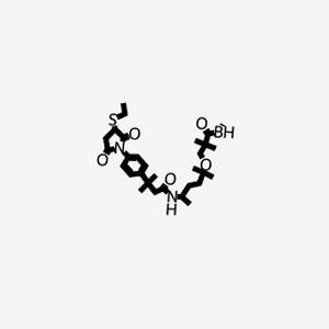 CBC(=O)C(C)(C)COC(C)(C)CCC(C)NC(=O)CC(C)(C)c1ccc(N2C(=O)CC(SCC)C2=O)cc1